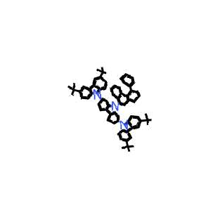 CC(C)(C)c1ccc2c(c1)c1cc(C(C)(C)C)ccc1n2-c1ccc2c3ccc(-n4c5ccc(C(C)(C)C)cc5c5cc(C(C)(C)C)ccc54)cc3n(-c3cc4cccc(-c5ccccc5)c4c4ccccc34)c2c1